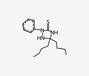 CCCCC1(CCCC)NC(=S)N(c2ccccc2)N1